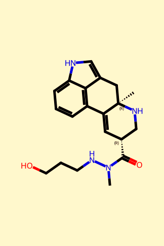 CN(NCCCO)C(=O)[C@@H]1C=C2c3cccc4[nH]cc(c34)C[C@@]2(C)NC1